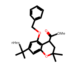 CCCCCCC(C)(C)c1cc(OCc2ccccc2)c2c(c1)OC(C)(C)CC2C(=O)OC